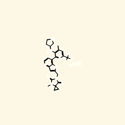 Cc1cc(C(F)(F)F)nc(-c2ccnc3cc(CN4C(=O)N(C)C5(CC5)C4=O)sc23)c1NC1CCNC1.Cl.Cl